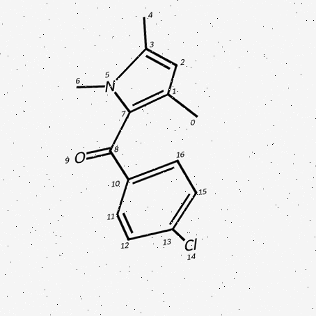 Cc1cc(C)n(C)c1C(=O)c1ccc(Cl)cc1